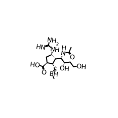 CBS[C@H]1[C@@H]([C@H](NC(C)=O)[C@@H](O)CCO)[C@H](NC(=N)N)C[C@@H]1C(=O)O